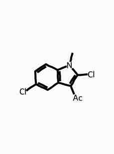 CC(=O)c1c(Cl)n(C)c2ccc(Cl)cc12